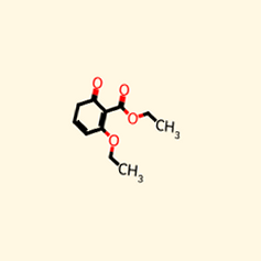 CCOC(=O)C1=C(OCC)C=CCC1=O